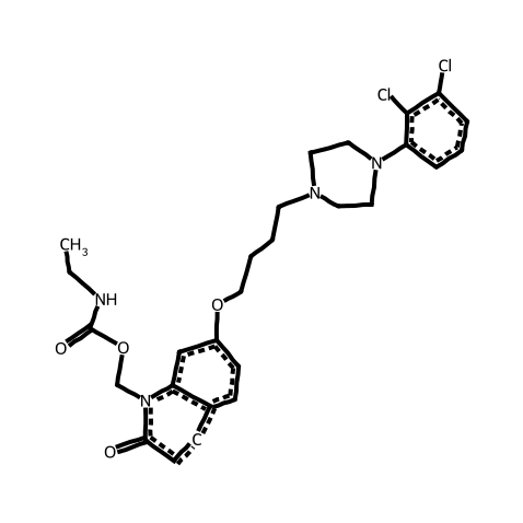 CCNC(=O)OCn1c(=O)ccc2ccc(OCCCCN3CCN(c4cccc(Cl)c4Cl)CC3)cc21